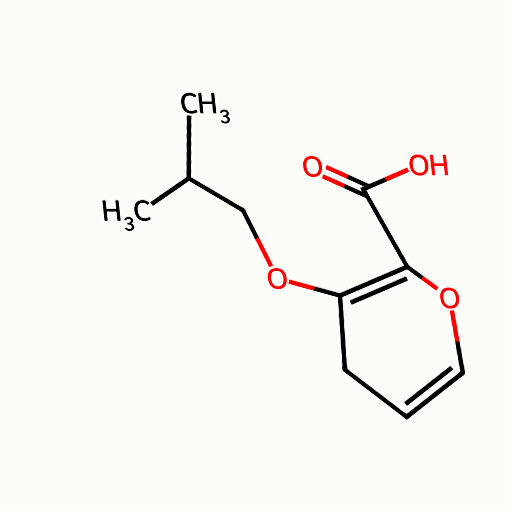 CC(C)COC1=C(C(=O)O)OC=CC1